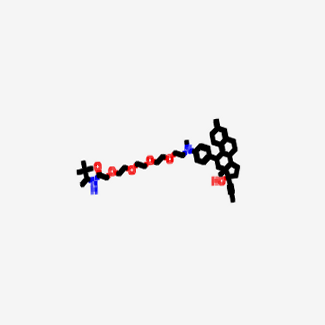 C=C1C=C2CCC3C(=C2CC1)C(c1ccc(N(C)CCOCCOCCOCCOCC(=O)NC(C)C(C)(C)C)cc1)CC1(C)C3CCC1(O)C#CC